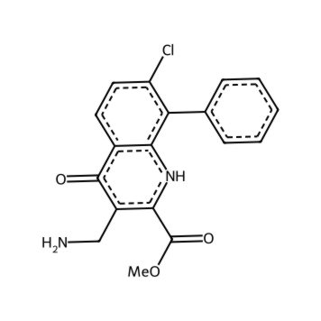 COC(=O)c1[nH]c2c(-c3ccccc3)c(Cl)ccc2c(=O)c1CN